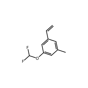 C=Cc1cc(C)cc(OC(F)F)c1